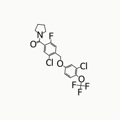 O=C(c1cc(Cl)c(COc2ccc(OC(F)(F)F)c(Cl)c2)cc1F)N1CCCC1